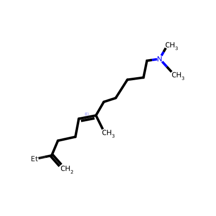 C=C(CC)CC/C=C(\C)CCCCCN(C)C